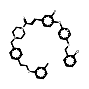 Cc1cccc(OCCc2ccc(CN3CCN(C(=O)C=Cc4ccc(Oc5ccc(OCc6ccccc6Cl)cn5)c(F)c4)CC3)cc2)c1